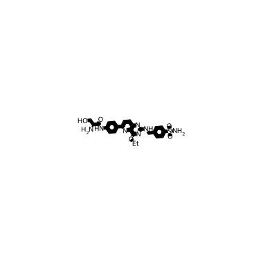 CCOc1nc(NCc2ccc(S(N)(=O)=O)cc2)nc2ccc(-c3ccc(NC(=O)[C@@H](N)CO)cc3)nc12